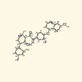 COc1cnc2c(Oc3ccc(NC(=O)c4c(C)ncc(-c5ccc(F)cc5C)c4O)cc3F)ccnc2c1